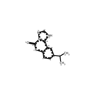 CC(C)c1ccc2nc(=O)n3nc[nH]c3c2c1